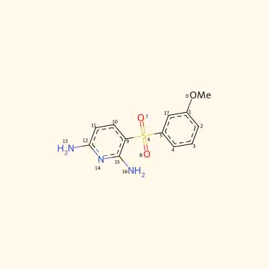 COc1cccc(S(=O)(=O)c2ccc(N)nc2N)c1